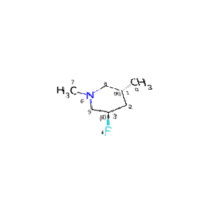 C[C@@H]1C[C@@H](F)CN(C)C1